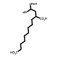 CCCCCC(CCC)CC(CCCCCCCCC(=O)O)C(=O)O